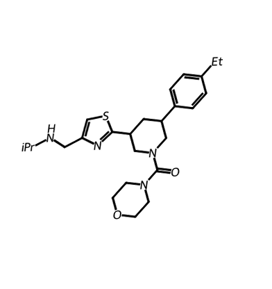 CCc1ccc(C2CC(c3nc(CNC(C)C)cs3)CN(C(=O)N3CCOCC3)C2)cc1